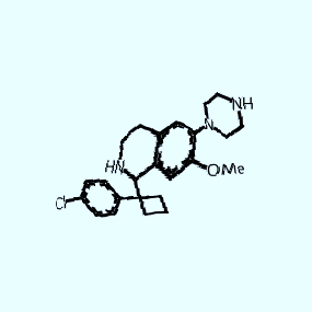 COc1cc2c(cc1N1CCNCC1)CCNC2C1(c2ccc(Cl)cc2)CCC1